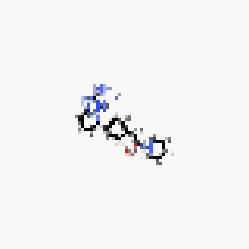 Nc1nc2cccc(-c3ccc(CC(=O)N4CCCCC4)cc3)n2n1